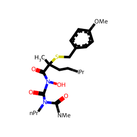 CCCN(C(=O)NC)C(=O)N(O)C(=O)C(C)(CCC(C)C)SCc1ccc(OC)cc1